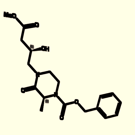 COC(=O)C[C@H](O)CN1CCN(C(=O)OCc2ccccc2)[C@@H](C)C1=O